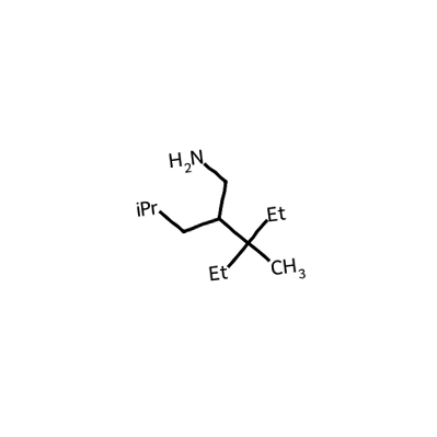 CCC(C)(CC)C(CN)CC(C)C